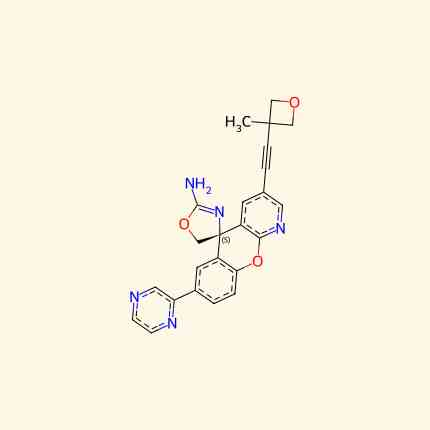 CC1(C#Cc2cnc3c(c2)[C@]2(COC(N)=N2)c2cc(-c4cnccn4)ccc2O3)COC1